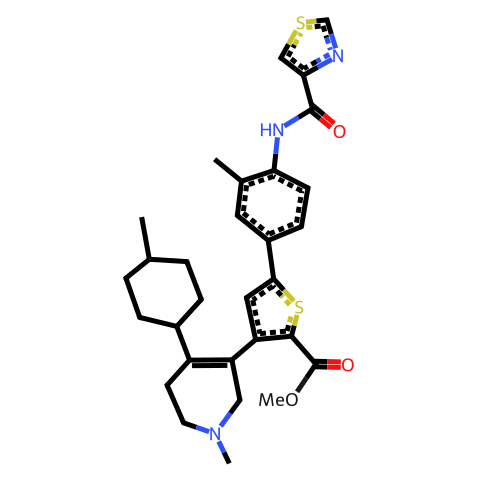 COC(=O)c1sc(-c2ccc(NC(=O)c3cscn3)c(C)c2)cc1C1=C(C2CCC(C)CC2)CCN(C)C1